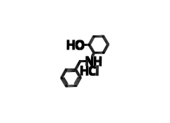 Cl.OC1CCCCC1NCc1ccccc1